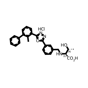 Cc1c(-c2ccccc2)cccc1-c1nnc(-c2cccc(CN[C@H](C(=O)O)[C@@H](C)O)c2)o1.Cl